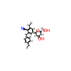 CCc1ccc(Cc2cc([C@H]3C[C@@H](O)C[C@@H](CO)O3)cc(CC)c2C#N)cc1